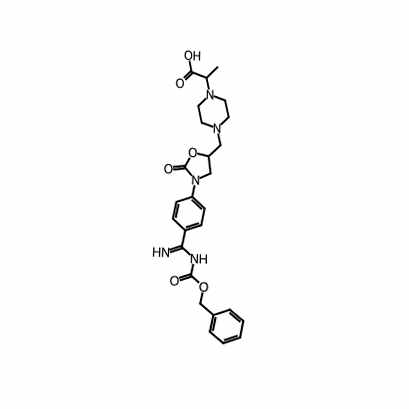 CC(C(=O)O)N1CCN(CC2CN(c3ccc(C(=N)NC(=O)OCc4ccccc4)cc3)C(=O)O2)CC1